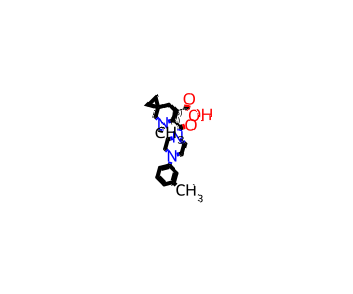 Cc1cccc(N2CCN(C(=O)[C@@H]3[C@@H](C(=O)O)CC4(CC4)CN3C)CC2)c1